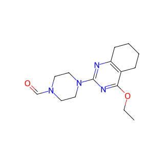 CCOc1nc(N2CCN(C=O)CC2)nc2c1CCCC2